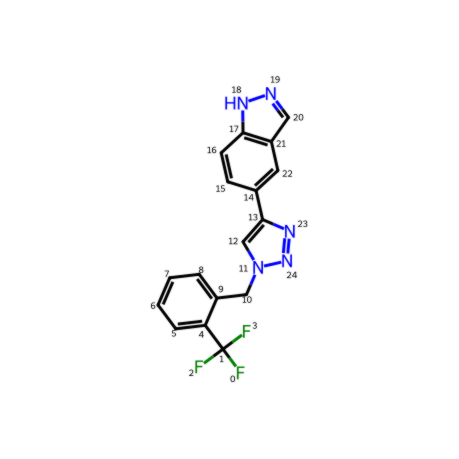 FC(F)(F)c1ccccc1Cn1cc(-c2ccc3[nH]ncc3c2)nn1